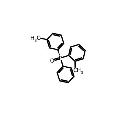 Cc1cccc([P@](=O)(c2ccccc2)c2ccccc2C)c1